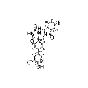 O=C1NC(=O)C(CN2Cc3ccc(F)cc3C2=O)(c2ccc(-c3cnc(O)c(Cl)c3)cc2)N1